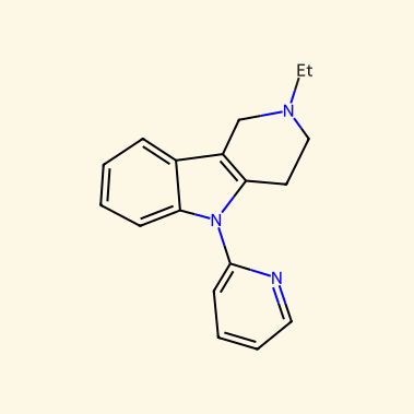 CCN1CCc2c(c3ccccc3n2-c2ccccn2)C1